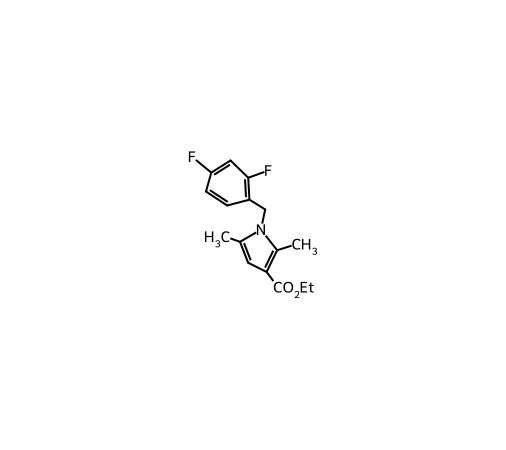 CCOC(=O)c1cc(C)n(Cc2ccc(F)cc2F)c1C